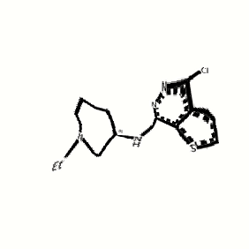 CCN1CCC[C@@H](Nc2nnc(Cl)c3ccsc23)C1